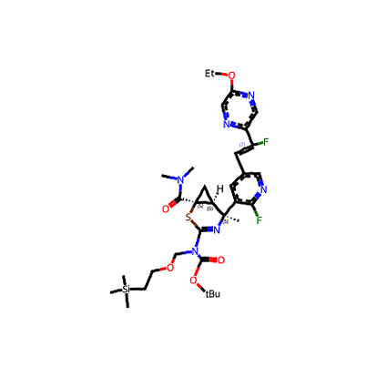 CCOc1cnc(/C(F)=C/c2cnc(F)c([C@@]3(C)N=C(N(COCC[Si](C)(C)C)C(=O)OC(C)(C)C)S[C@@]4(C(=O)N(C)C)C[C@H]43)c2)cn1